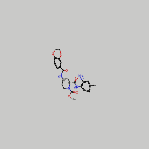 Cc1ccc(NC(=O)[C@H]2C[C@H](NC(=O)c3ccc4c(c3)OCCO4)CCN2C(=O)OC(C)(C)C)c(N)c1